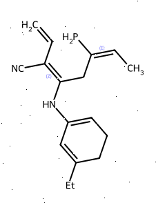 C=C/C(C#N)=C(\C/C(P)=C\C)NC1=CCCC(CC)=C1